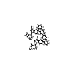 CON=C(c1n[nH]c2c1C=CC(c1ccccc1)(c1ccncn1)C2)C1CC1.ON=C(c1n[nH]c2c1C=CC(c1ccccc1)(c1ccncn1)C2)C1CCC1